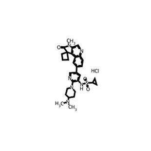 CN1C(=O)C2(CCC2)c2c1cnc1ccc(-c3cnc(N4CCC(N(C)C)CC4)c(NS(=O)(=O)C4CC4)c3)cc21.Cl